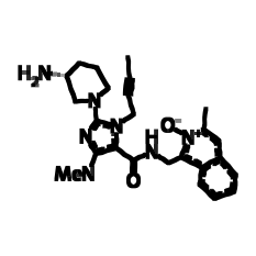 CC#CCn1c(N2CCC[C@@H](N)C2)nc(NC)c1C(=O)NCc1c2ccccc2cc(C)[n+]1[O-]